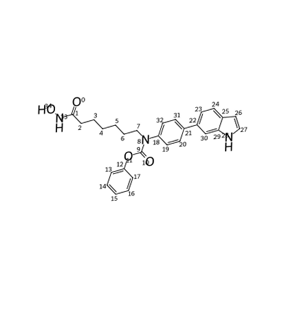 O=C(CCCCCCN(C(=O)Oc1ccccc1)c1ccc(-c2ccc3cc[nH]c3c2)cc1)NO